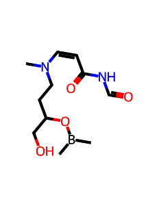 CB(C)OC(CO)CCN(C)/C=C\C(=O)NC=O